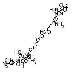 Cc1ncsc1-c1ccc([C@H](C)NC(=O)[C@@H]2C[C@@H](O)CN2C(=O)[C@@H](NC(=O)CCOCCOCCOCCOCCNC(=O)CCCCCC2(CN)CCN(c3cnc(Sc4cccc(Cl)c4Cl)c(N)n3)CC2)C(C)(C)C)cc1